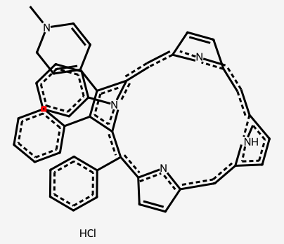 CN1C=CC(c2c(-c3ccccc3)c3c(-c4ccccc4)c4nc(cc5ccc(cc6nc(cc2n3-c2ccccc2)C=C6)[nH]5)C=C4)=CC1.Cl